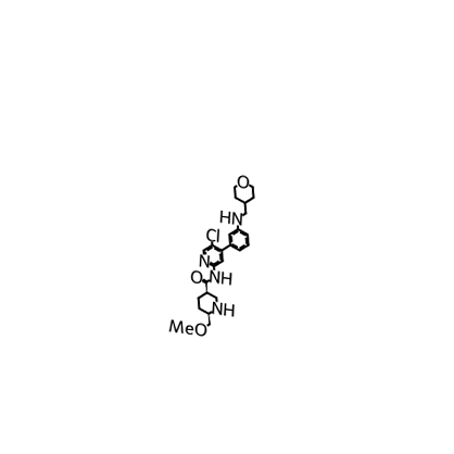 COC[C@H]1CC[C@@H](C(=O)Nc2cc(-c3cccc(NCC4CCOCC4)c3)c(Cl)cn2)CN1